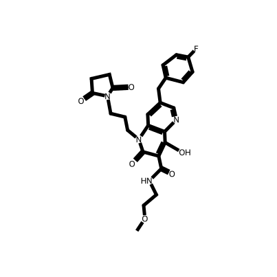 COCCNC(=O)c1c(O)c2ncc(Cc3ccc(F)cc3)cc2n(CCCN2C(=O)CCC2=O)c1=O